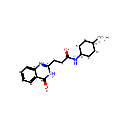 O=C(CCc1nc2ccccc2c(=O)[nH]1)NC1CCC(C(=O)O)CC1